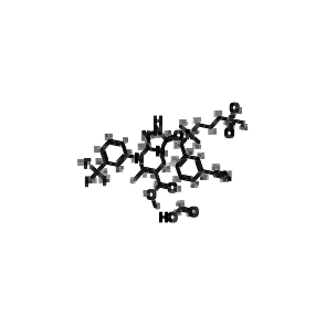 COC(=O)C1=C(C)N(c2cccc(C(F)(F)F)c2)c2n[nH]c(=O)n2[C@@H]1c1ccc(C#N)cc1C[N+](C)(C)CCCS(C)(=O)=O.O=CO